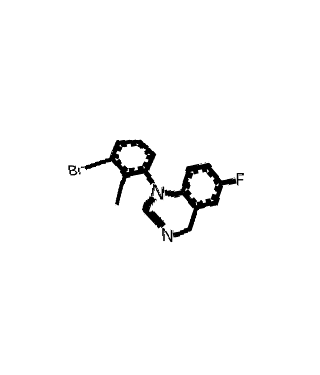 Cc1c(Br)cccc1N1C=NCc2cc(F)ccc21